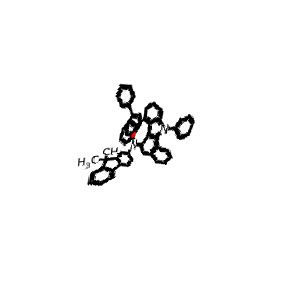 CC1(C)c2ccccc2-c2ccc(N(c3ccc(-c4ccccc4)cc3)c3cc4ccccc4c4c3c3c(-c5ccccc5)cccc3n4-c3ccccc3)cc21